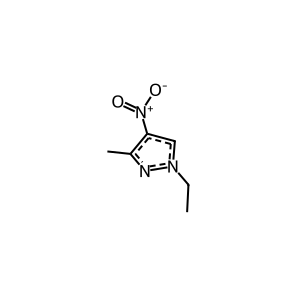 CCn1cc([N+](=O)[O-])c(C)n1